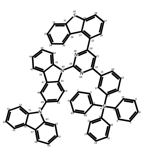 c1ccc([Si](c2ccccc2)(c2ccccc2)c2cccc(-c3cc(-c4cccc5sc6ccccc6c45)nc(-n4c5ccccc5c5cc(-n6c7ccccc7c7ccccc76)ccc54)n3)c2)cc1